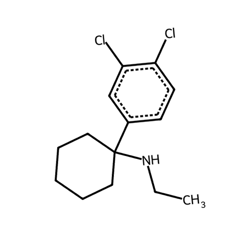 CCNC1(c2ccc(Cl)c(Cl)c2)CCCCC1